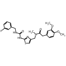 COc1ccc(CC(=O)N(C)Cc2csc(NC(=O)NCc3cccc(F)c3)n2)cc1OC